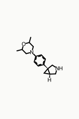 CC1CN(c2ccc([C@@]34CNC[C@@H]3C4)cc2)CC(C)O1